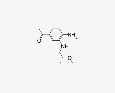 CO[C@H](C)CNc1cc(C(C)=O)ccc1N